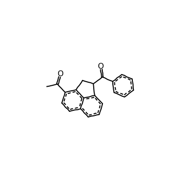 CC(=O)c1ccc2cccc3c2c1CC3C(=O)c1ccccc1